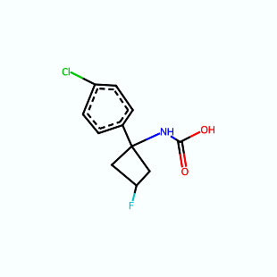 O=C(O)NC1(c2ccc(Cl)cc2)CC(F)C1